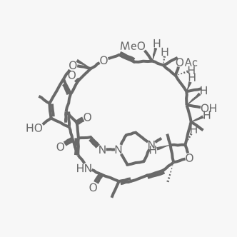 CO[C@H]1/C=C/O[C@@]2(C)Oc3c(C)c(O)c4c(c3C2=O)C(=O)C(/C=N/N2CCN(C)CC2)=C(NC(=O)/C(C)=C\C=C\[C@]2(C)O[C@H]([C@@H](C)[C@@H](O)[C@@H](C)[C@H](OC(C)=O)[C@@H]1C)[C@H]2C)C4=O